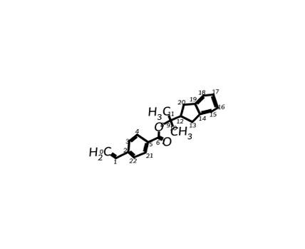 C=Cc1ccc(C(=O)OC(C)(C)C2Cc3ccccc3C2)cc1